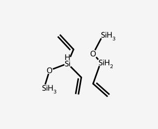 C=C[SiH2]O[SiH3].C=C[SiH](C=C)O[SiH3]